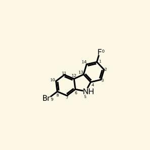 Fc1ccc2[nH]c3cc(Br)ccc3c2c1